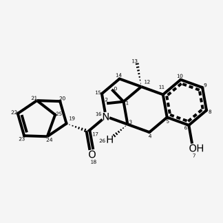 CC1(C)[C@H]2Cc3c(O)cccc3[C@]1(C)CCN2C(=O)[C@H]1CC2C=CC1C2